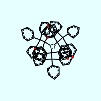 c1ccc(C(c2ccccc2)(c2ccccc2)[C](c2ccccc2)(c2ccccc2)[Cr]([C](c2ccccc2)(c2ccccc2)C(c2ccccc2)(c2ccccc2)c2ccccc2)[C](c2ccccc2)(c2ccccc2)C(c2ccccc2)(c2ccccc2)c2ccccc2)cc1